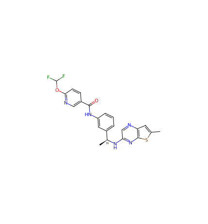 Cc1cc2ncc(N[C@@H](C)c3cccc(NC(=O)c4ccc(OC(F)F)nc4)c3)nc2s1